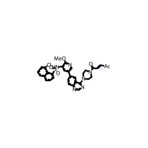 COc1ncc(-c2ccc3ncnc(N4CCN(C(=O)/C=C/C(C)=O)CC4)c3c2)cc1NS(=O)(=O)c1cccc2cccc(Cl)c12